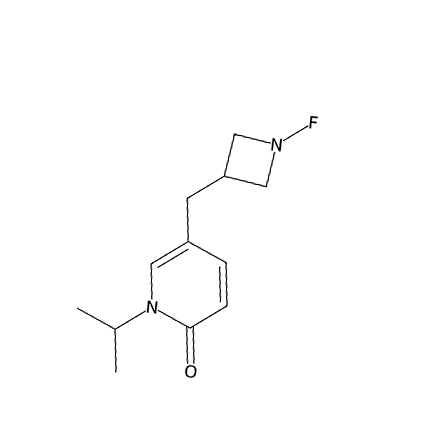 CC(C)n1cc(CC2CN(F)C2)ccc1=O